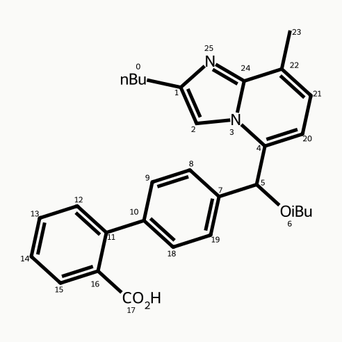 CCCCc1cn2c(C(OCC(C)C)c3ccc(-c4ccccc4C(=O)O)cc3)ccc(C)c2n1